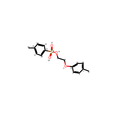 Cc1ccc(OCCOS(=O)(=O)c2ccc(C)cc2)cc1